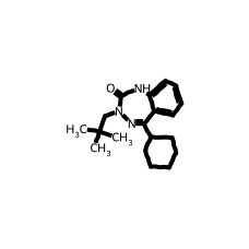 CC(C)(C)CN1N=C(C2CCCCC2)c2ccccc2NC1=O